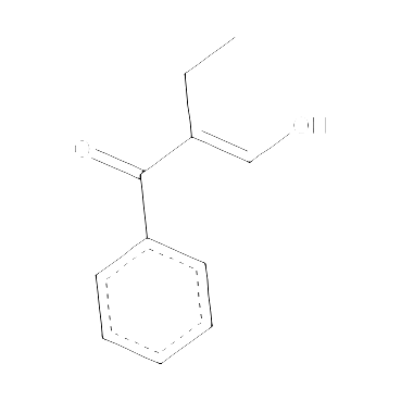 CCC(=CO)C(=O)c1ccccc1